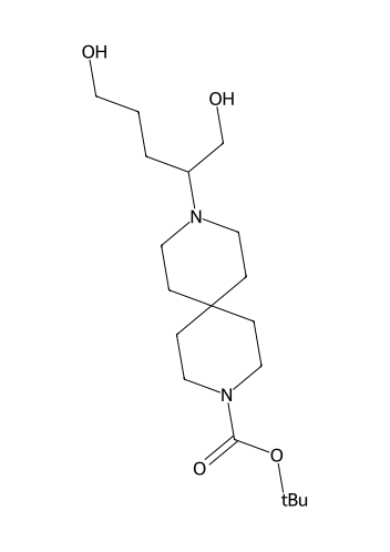 CC(C)(C)OC(=O)N1CCC2(CC1)CCN(C(CO)CCCO)CC2